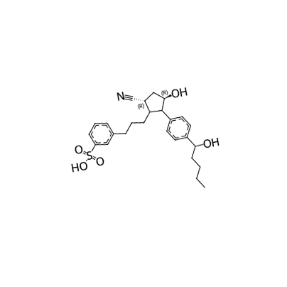 CCCCC(O)c1ccc(C2C(CCCc3cccc(S(=O)(=O)O)c3)[C@H](C#N)C[C@H]2O)cc1